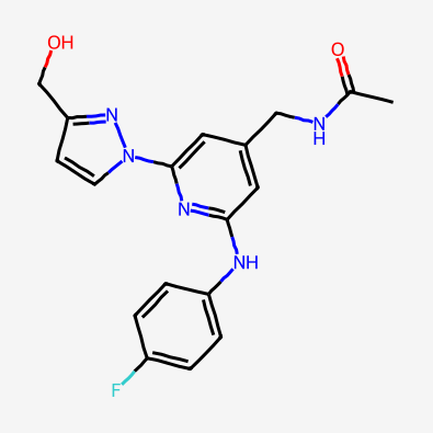 CC(=O)NCc1cc(Nc2ccc(F)cc2)nc(-n2ccc(CO)n2)c1